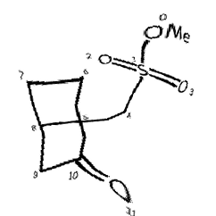 COS(=O)(=O)CC12CCC1CC2=O